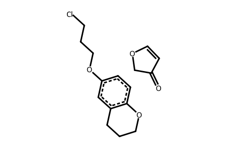 ClCCCOc1ccc2c(c1)CCCO2.O=C1C=COC1